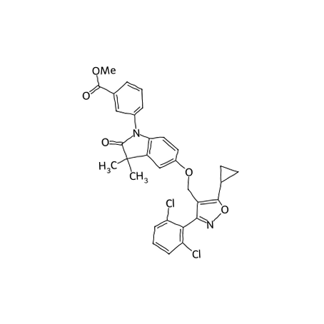 COC(=O)c1cccc(N2C(=O)C(C)(C)c3cc(OCc4c(-c5c(Cl)cccc5Cl)noc4C4CC4)ccc32)c1